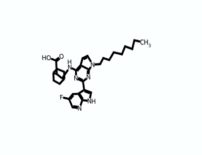 CCCCCCCCCn1ccc2c(NC3C4CCC(CC4)C3C(=O)O)nc(-c3c[nH]c4ncc(F)cc34)nc21